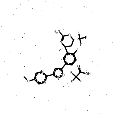 COc1cnc(-c2cc(-c3ccc(F)c([C@]4(C)C[C@@H](C(F)(F)F)OC(N)=N4)c3)on2)nc1.O=C(O)C(F)(F)F